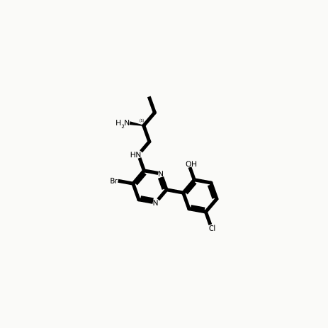 CC[C@H](N)CNc1nc(-c2cc(Cl)ccc2O)ncc1Br